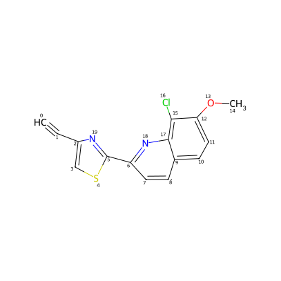 C#Cc1csc(-c2c[c]c3ccc(OC)c(Cl)c3n2)n1